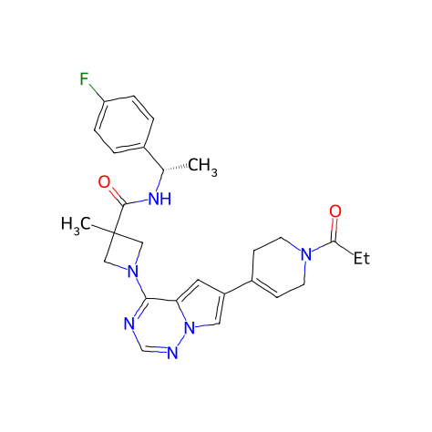 CCC(=O)N1CC=C(c2cc3c(N4CC(C)(C(=O)N[C@@H](C)c5ccc(F)cc5)C4)ncnn3c2)CC1